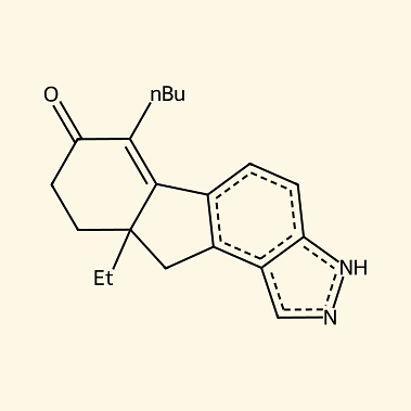 CCCCC1=C2c3ccc4[nH]ncc4c3CC2(CC)CCC1=O